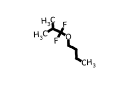 CCCCOC(F)(F)C(C)C